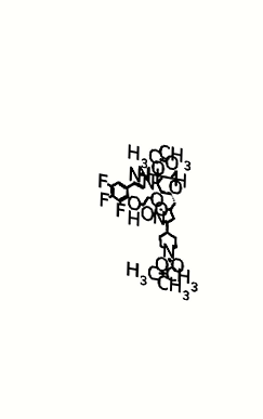 CC(C)(C)OC(=O)N1CCC(C2=NOC(C[C@H]3O[C@@H]4COC(C)(C)O[C@@H]4[C@H](n4cc(-c5cc(F)c(F)c(F)c5)nn4)[C@H]3OCC(=O)O)C2)CC1